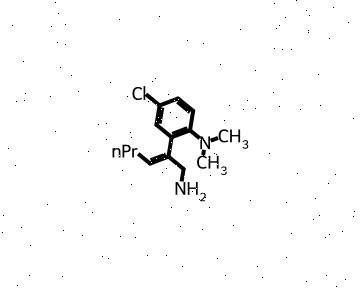 CCC/C=C(/CN)c1cc(Cl)ccc1N(C)C